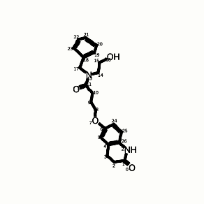 O=C1CCc2cc(OCCCC(=O)N(CCO)Cc3ccccc3)ccc2N1